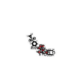 COc1c(Nc2ccc(S(=O)(=O)C3CC3)cc2F)ncnc1OC1CC2COCC(C1)N2C(=O)OC(C(F)(F)F)C(F)(F)F